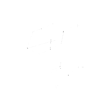 CC(C)(C)C(C)(C(=O)OC12CC3CC(CC(O)(C3)C1)C2)C(C)(C)C